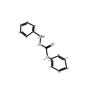 O=C(ONc1ccccc1)Oc1ccccc1